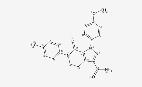 COc1ccc(-n2nc(C(N)=O)c3c2C(=O)N(c2ccc(C)cc2)CC3)cc1